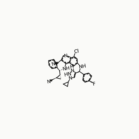 N#Cc1cnc2c(Cl)cc(NC(C3=CN(C4CC4)NN3)c3ccc(F)cc3)cc2c1N[C@@H](c1ccccc1)[C@@H]1C[C@H]1C#N